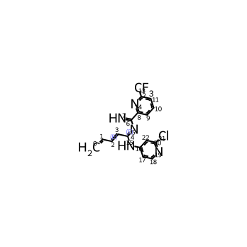 C=C/C=C/C(=N\C(=N)c1cccc(C(F)(F)F)n1)Nc1ccnc(Cl)c1